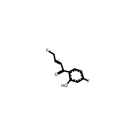 O=C(/C=C/CF)c1ccc(F)cc1O